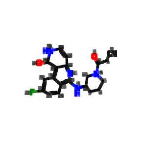 N#CCC(=O)N1CCC[C@@H](Nc2nc3cc[nH]c(=O)c3c3cc(F)ccc23)C1